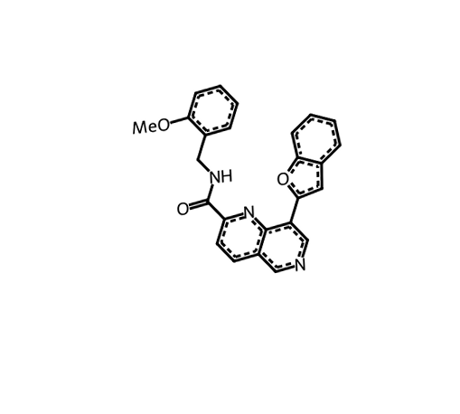 COc1ccccc1CNC(=O)c1ccc2cncc(-c3cc4ccccc4o3)c2n1